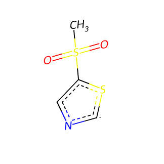 CS(=O)(=O)c1cn[c]s1